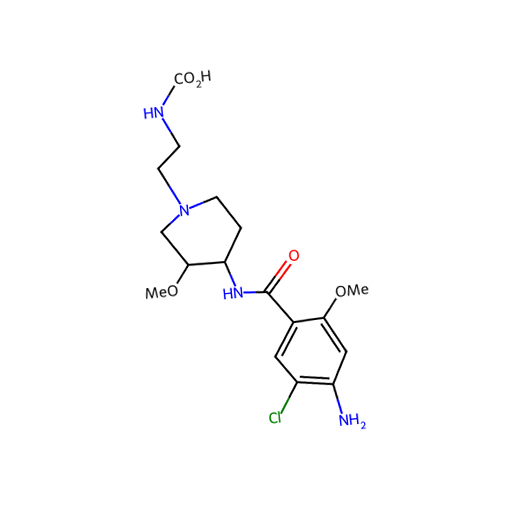 COc1cc(N)c(Cl)cc1C(=O)NC1CCN(CCNC(=O)O)CC1OC